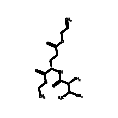 C=CCOC(=O)CC[C@H](NC(=O)[C@@H](N)C(C)C)C(=O)OCC